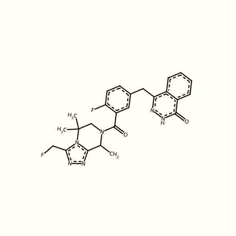 CC1c2nnc(CF)n2C(C)(C)CN1C(=O)c1cc(Cc2n[nH]c(=O)c3ccccc23)ccc1F